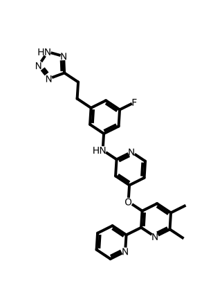 Cc1cc(Oc2ccnc(Nc3cc(F)cc(CCc4nn[nH]n4)c3)c2)c(-c2ccccn2)nc1C